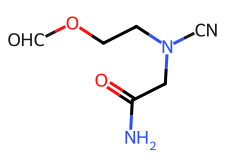 N#CN(CCOC=O)CC(N)=O